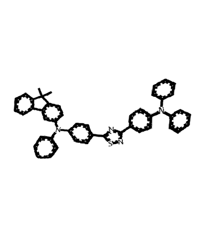 CC1(C)c2ccccc2-c2cc(N(c3ccccc3)c3ccc(-c4nc(-c5ccc(N(c6ccccc6)c6ccccc6)cc5)ns4)cc3)ccc21